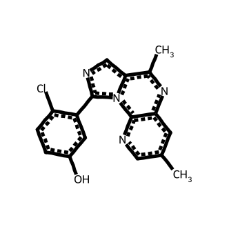 Cc1cnc2c(c1)nc(C)c1cnc(-c3cc(O)ccc3Cl)n12